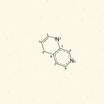 C1=C[N]c2cnccc2C1